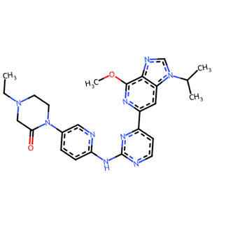 CCN1CCN(c2ccc(Nc3nccc(-c4cc5c(ncn5C(C)C)c(OC)n4)n3)nc2)C(=O)C1